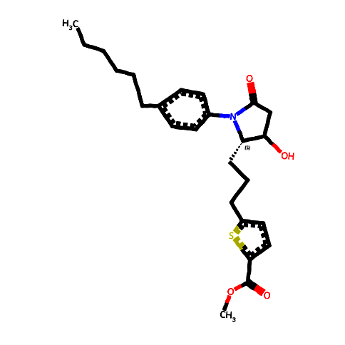 CCCCCCc1ccc(N2C(=O)CC(O)[C@@H]2CCCc2ccc(C(=O)OC)s2)cc1